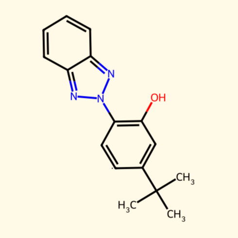 CC(C)(C)c1[c]cc(-n2nc3ccccc3n2)c(O)c1